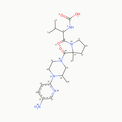 CC(C)C(NC(=O)O)C(=O)N1CCCC1(C)C(=O)N1CCN(c2ccc(N)cn2)C(C)C1